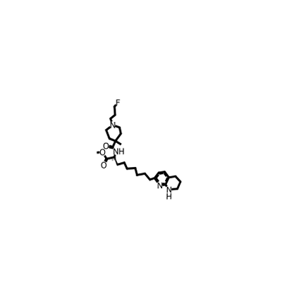 COC(=O)[C@H](CCCCCCCc1ccc2c(n1)NCCC2)NC(=O)C1(C)CCN(CCCF)CC1